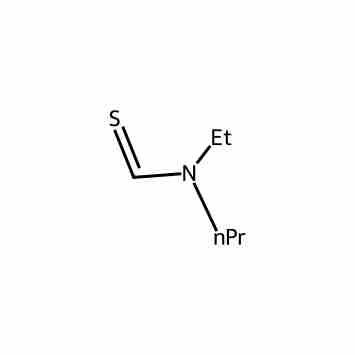 CCCN(C=S)CC